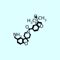 C[SH](C)(=O)c1coc2ccc(C(=O)N3CCC4(CC3)COc3ccc(CN)cc34)cc12